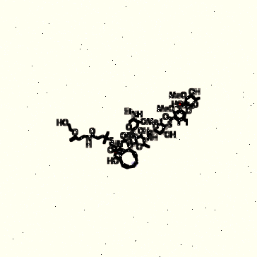 C=C(CCNC(=O)CCC(C)(C)SSC/C=C1\C2=C(NC(=O)OC)C(=O)C[C@]1(O)C#C/C=C\C#C[C@@H]2O[C@@H]1OC(C)[C@@H](NO[C@H]2C[C@@H](O)[C@H](SC(=O)c3c(C)c(I)c(O[C@@H]4OC(C)[C@H](O)C(OC)[C@@H]4O)c(OC)c3OC)C(C)O2)C(O)C1O[C@H]1CC(OC)[C@@H](NCC)CO1)OCCO